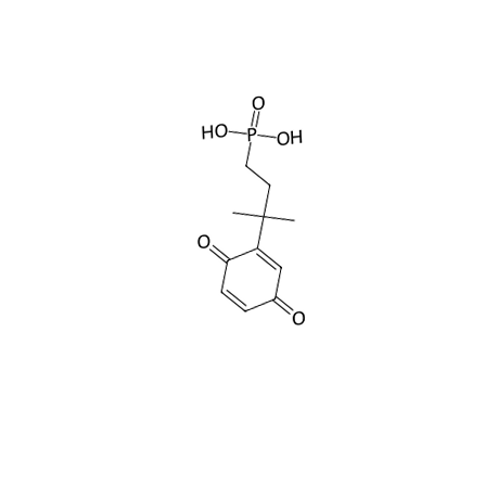 CC(C)(CCP(=O)(O)O)C1=CC(=O)C=CC1=O